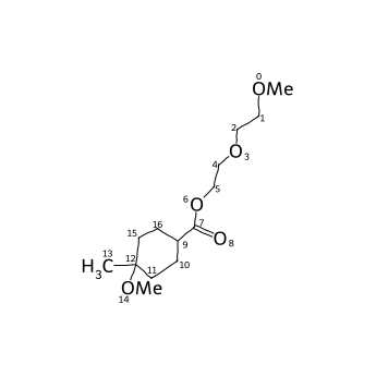 COCCOCCOC(=O)C1CCC(C)(OC)CC1